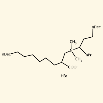 Br.CCCCCCCCCCCCCCCCC(C[N+](C)(C)C(CCC)CCCCCCCCCCCC)C(=O)[O-]